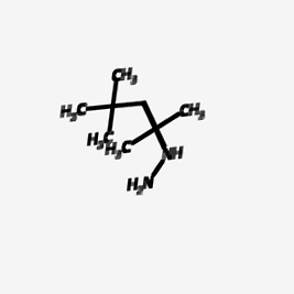 CC(C)(C)CC(C)(C)NN